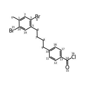 Cc1cc(Br)c(CCCCc2ccc(C(=O)Cl)cc2)cc1Br